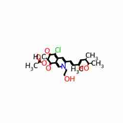 CC(=O)O[C@@]1(C)C(=O)C2=CN(CCO)C(C=CC(C)=C[C@@H](C)[C@@H](C)O)=CC2=C(Cl)C1=O